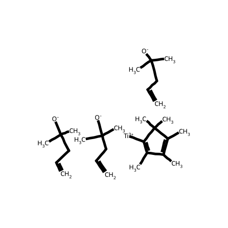 C=CCC(C)(C)[O-].C=CCC(C)(C)[O-].C=CCC(C)(C)[O-].CC1=C(C)C(C)(C)[C]([Ti+3])=C1C